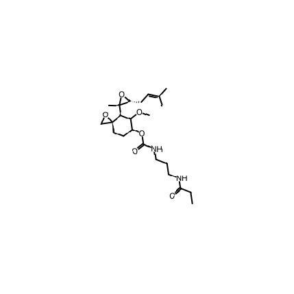 CCC(=O)NCCCNC(=O)OC1CC[C@]2(CO2)C(C2(C)O[C@@H]2CC=C(C)C)C1OC